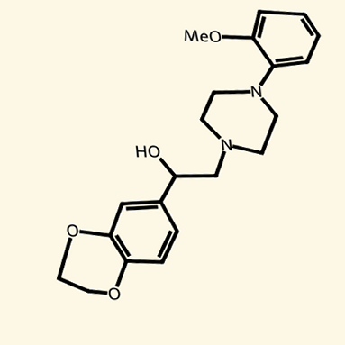 COc1ccccc1N1CCN(CC(O)c2ccc3c(c2)OCCO3)CC1